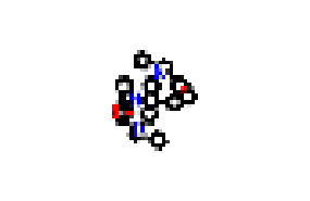 C1=C(c2ccccc2)N(c2ccc3c(-n4c5ccccc5c5ccccc54)c4cc(-n5c(-c6ccccc6)ccc5-c5ccccc5)ccc4c(-c4ccc5ccccc5c4)c3c2)C(c2ccccc2)C1